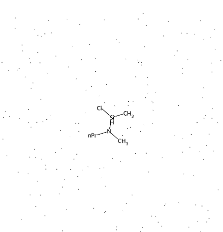 CCCN(C)[SiH](C)Cl